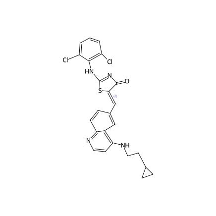 O=C1N=C(Nc2c(Cl)cccc2Cl)S/C1=C\c1ccc2nccc(NCCC3CC3)c2c1